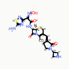 Nc1nc(/C(=N/O)C(=O)N[C@@H]2C(=O)N3C(C(=O)O)=C(C=C4CCN(C5CNC5)C4=O)CS[C@H]23)ns1